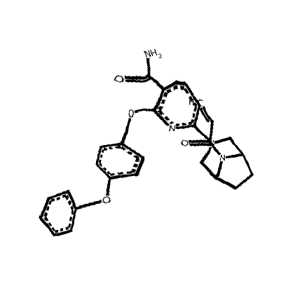 C=CC(=O)N1C2CCC1CN(c1ccc(C(N)=O)c(Oc3ccc(Oc4ccccc4)cc3)n1)C2